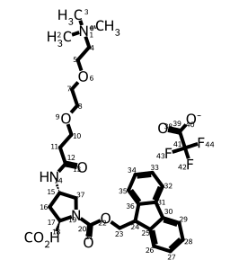 C[N+](C)(C)CCOCCOCCC(=O)N[C@H]1C[C@H](C(=O)O)N(C(=O)OCC2c3ccccc3-c3ccccc32)C1.O=C([O-])C(F)(F)F